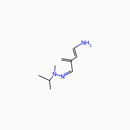 C=C(/C=N\N(C)C(C)C)/C=C/N